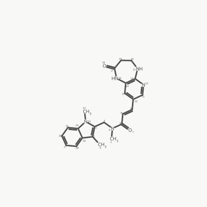 Cc1c(CN(C)C(=O)C=Cc2cnc3c(c2)NC(=O)CCN3)n(C)c2ccccc12